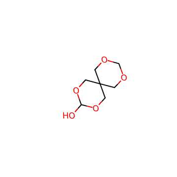 OC1OCC2(COCOC2)CO1